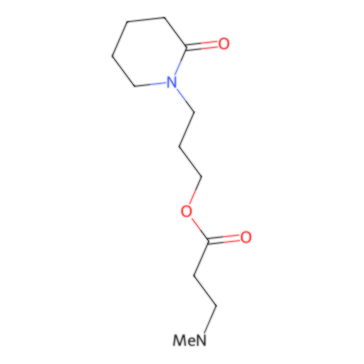 CNCCC(=O)OCCCN1CCCCC1=O